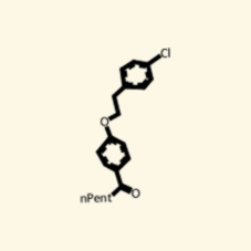 CCCCCC(=O)c1ccc(OCCc2ccc(Cl)cc2)cc1